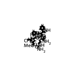 COC(=O)CC[C@H](NC(=O)CCl)C(=O)N1CCCC[C@H]1C(=O)N[C@H](C(=O)N[C@@H](CCCNC(N)=O)C(N)=O)c1c[nH]c2ccccc12